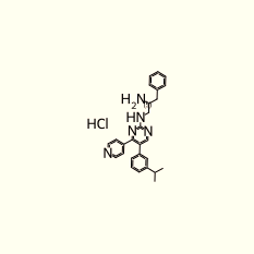 CC(C)c1cccc(-c2cnc(NC[C@@H](N)Cc3ccccc3)nc2-c2ccncc2)c1.Cl